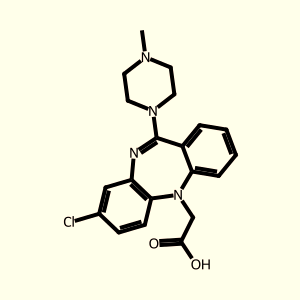 CN1CCN(C2=Nc3cc(Cl)ccc3N(CC(=O)O)c3ccccc32)CC1